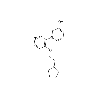 OC1=CC=CN(c2cnccc2OCCN2CCCC2)C1